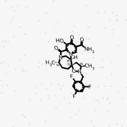 C[C@@H]1C[C@]2(CC[C@H](C)N3C[C@H]2n2cc(C(N)=O)c(=O)c(O)c2C3=O)ON1Cc1c(F)cc(F)cc1F